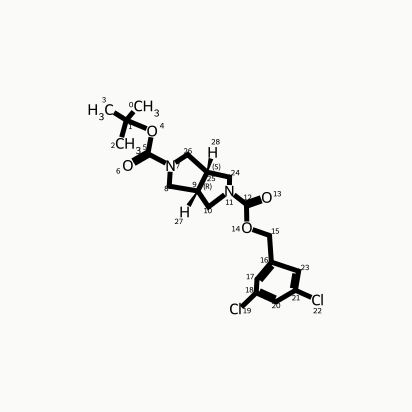 CC(C)(C)OC(=O)N1C[C@H]2CN(C(=O)OCc3cc(Cl)cc(Cl)c3)C[C@H]2C1